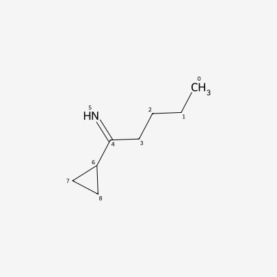 CCCCC(=N)C1CC1